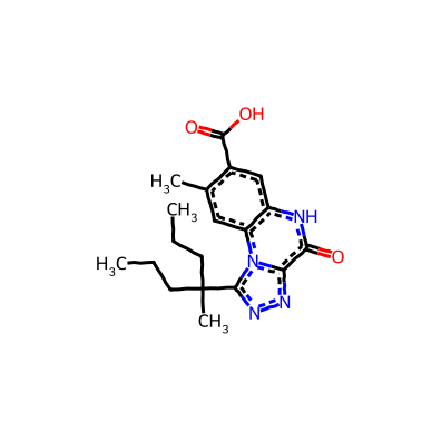 CCCC(C)(CCC)c1nnc2c(=O)[nH]c3cc(C(=O)O)c(C)cc3n12